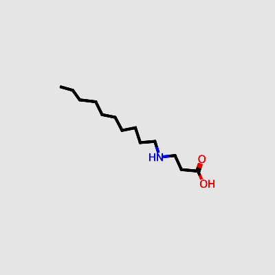 CCCCCCCCCCNCCC(=O)O